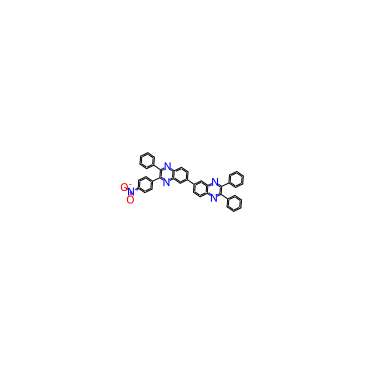 O=[N+]([O-])c1ccc(-c2nc3cc(-c4ccc5nc(-c6ccccc6)c(-c6ccccc6)nc5c4)ccc3nc2-c2ccccc2)cc1